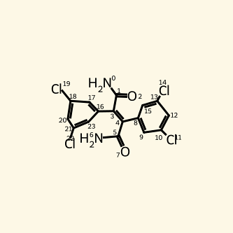 NC(=O)C(=C(C(N)=O)c1cc(Cl)cc(Cl)c1)c1cc(Cl)cc(Cl)c1